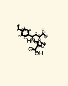 CCc1ccc(C2CC(C(F)F)n3ncc(C(=O)O)c3N2)cc1